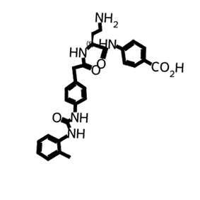 Cc1ccccc1NC(=O)Nc1ccc(CC(=O)N[C@@H](CCN)C(=O)Nc2ccc(C(=O)O)cc2)cc1